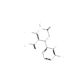 COC(=O)C1=C(C)N(C)C(=O)CC1c1cccc(Cl)c1Cl